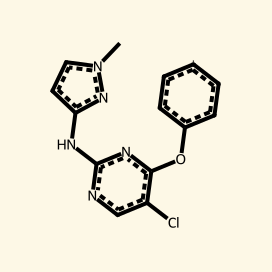 Cn1ccc(Nc2ncc(Cl)c(Oc3cc[c]cc3)n2)n1